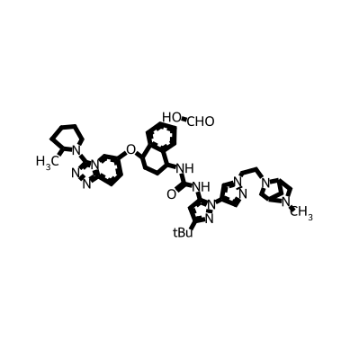 CC1CCCCN1c1nnc2ccc(OC3CCC(NC(=O)Nc4cc(C(C)(C)C)nn4-c4cnn(CCN5CC6CC5CN6C)c4)c4ccccc43)cn12.O=CO